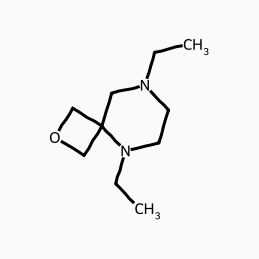 CCN1CCN(CC)C2(COC2)C1